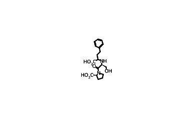 O=C(O)C(CCc1ccccc1)N[C@@H](CO)C(=O)N1CCC[C@H]1C(=O)O